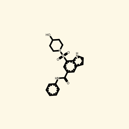 O=C(Nc1ccccc1)c1cc(S(=O)(=O)N2CCC(O)CC2)c2[nH]ccc2c1